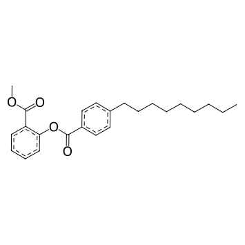 CCCCCCCCCc1ccc(C(=O)Oc2ccccc2C(=O)OC)cc1